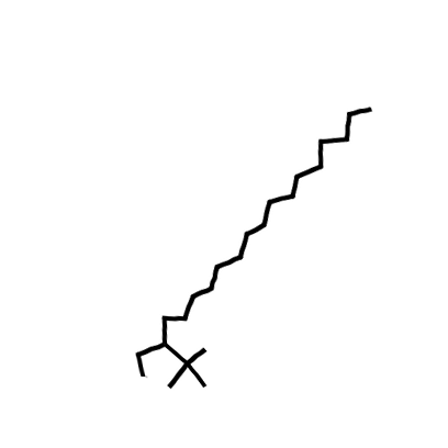 [CH2]CC(CCCCCCCCCCCCCCCC)C(C)(C)C